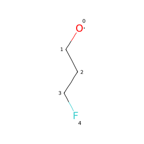 [O]CCCF